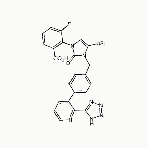 CCCc1cn(-c2c(F)cccc2C(=O)O)c(=O)n1Cc1ccc(-c2cccnc2-c2nnn[nH]2)cc1